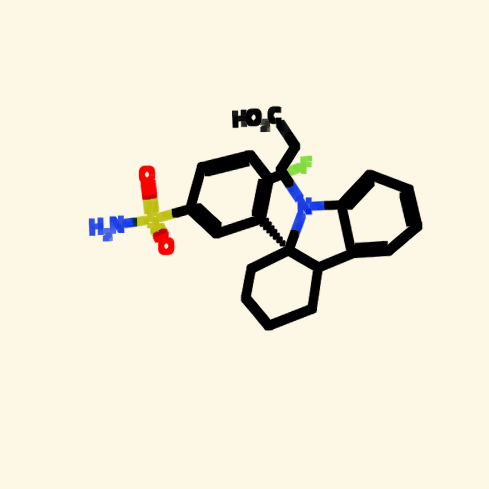 NS(=O)(=O)c1ccc(F)c([C@@]23CCCCC2c2ccccc2N3CCC(=O)O)c1